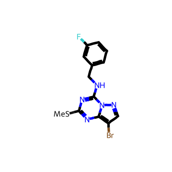 CSc1nc(NCc2cccc(F)c2)n2ncc(Br)c2n1